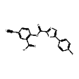 N#Cc1ccc(NC(=O)c2ncc(-c3ccc(F)cc3)o2)c(C(=O)O)c1